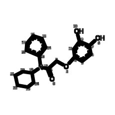 O=C(COc1ccc(O)c(O)c1)N(c1ccccc1)C1CCCCC1